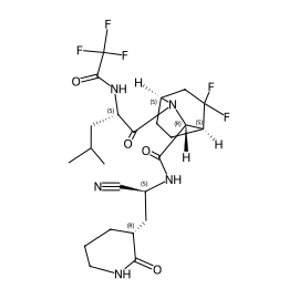 CC(C)C[C@H](NC(=O)C(F)(F)F)C(=O)N1[C@H]2CC[C@@H]([C@@H]1C(=O)N[C@H](C#N)C[C@H]1CCCNC1=O)C(F)(F)C2